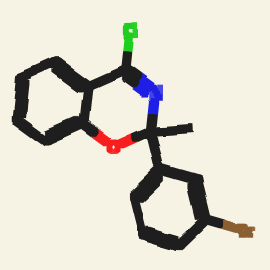 CC1(c2cccc(Br)c2)N=C(Cl)c2ccccc2O1